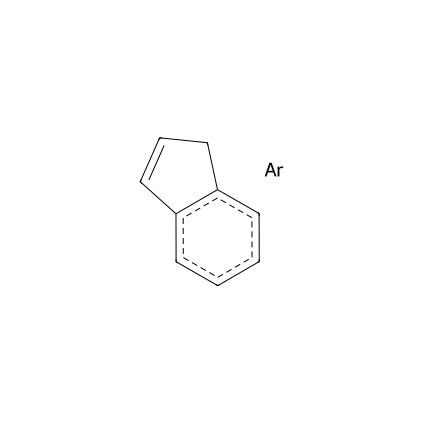 C1=Cc2ccccc2C1.[Ar]